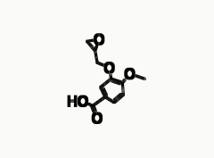 COc1ccc(C(=O)O)cc1OCC1CO1